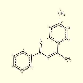 CC(=CC(=O)c1ccccc1)c1ccc(C)cc1